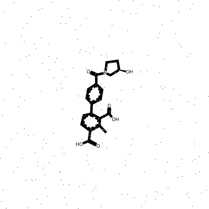 Cc1c(C(=O)O)ccc(-c2ccc(C(=O)N3CC[C@@H](O)C3)cc2)c1C(=O)O